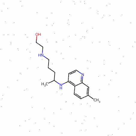 Cc1ccc2c(NC(C)CCCNCCO)ccnc2c1